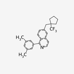 Cc1cc(C)cc(-c2nccc3cc(CC4(C(F)(F)F)CCCC4)ccc23)c1